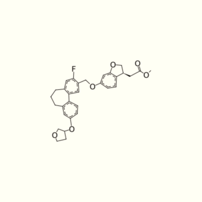 COC(=O)C[C@@H]1COc2cc(OCc3cc4c(cc3F)CCCc3cc(OC5CCOC5)ccc3-4)ccc21